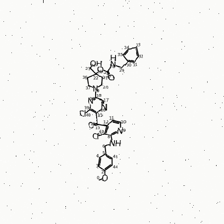 COc1ccc(CNc2nccc(C(=O)c3ncc(N4CCC(CO)(OC(=O)NCc5ccccc5)CC4)nc3Cl)c2Cl)cc1